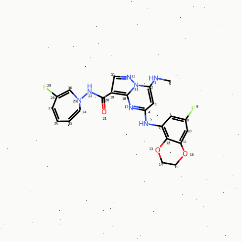 CNc1cc(Nc2cc(F)cc3c2OCCO3)nc2c(C(=O)NN3C=CC=CC(F)=C3)cnn12